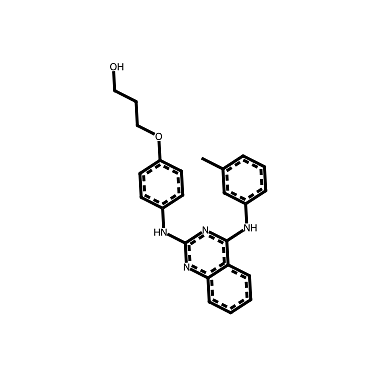 Cc1cccc(Nc2nc(Nc3ccc(OCCCO)cc3)nc3ccccc23)c1